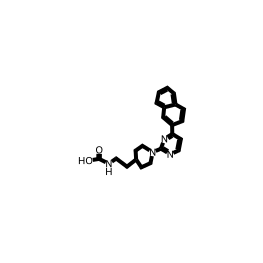 O=C(O)NCCC1CCN(c2nccc(-c3ccc4ccccc4c3)n2)CC1